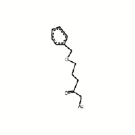 CC(=O)CC(=O)CCCOCc1ccccc1